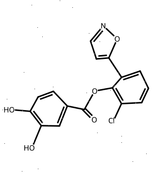 O=C(Oc1c(Cl)cccc1-c1ccno1)c1ccc(O)c(O)c1